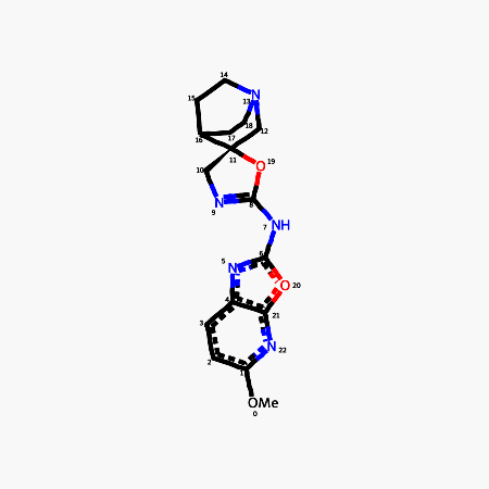 COc1ccc2nc(NC3=NC[C@@]4(CN5CCC4CC5)O3)oc2n1